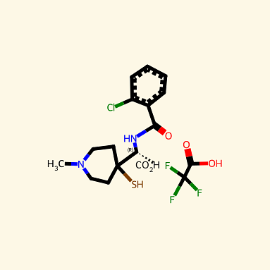 CN1CCC(S)([C@H](NC(=O)c2ccccc2Cl)C(=O)O)CC1.O=C(O)C(F)(F)F